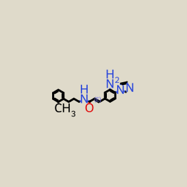 Cc1ccccc1CCCNC(=O)/C=C/c1ccc(-n2ccnc2)c(N)c1